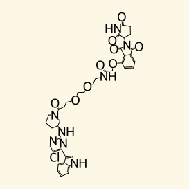 O=C(COc1cccc2c1C(=O)N(C1CCC(=O)NC1=O)C2=O)NCCOCCOCCC(=O)N1CCCC(Nc2ncc(Cl)c(-c3c[nH]c4ccccc34)n2)C1